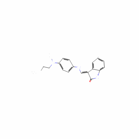 COCCN(C)c1ccc(N/C=C2/C(=O)Nc3ccccc32)cc1